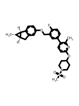 Cc1nc(OC2CCN(S(C)(=O)=O)CC2)ccc1-c1ccc(F)c(COc2ccc3c(c2)C[C@H]2[C@H](C)[C@@H]32)c1